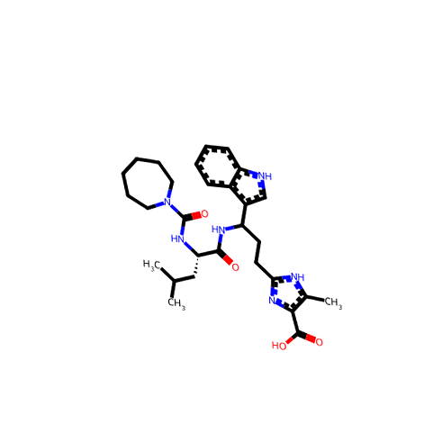 Cc1[nH]c(CCC(NC(=O)[C@H](CC(C)C)NC(=O)N2CCCCCC2)c2c[nH]c3ccccc23)nc1C(=O)O